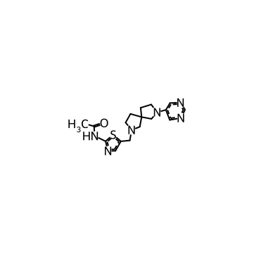 CC(=O)Nc1ncc(CN2CCC3(CCN(c4cncnc4)C3)C2)s1